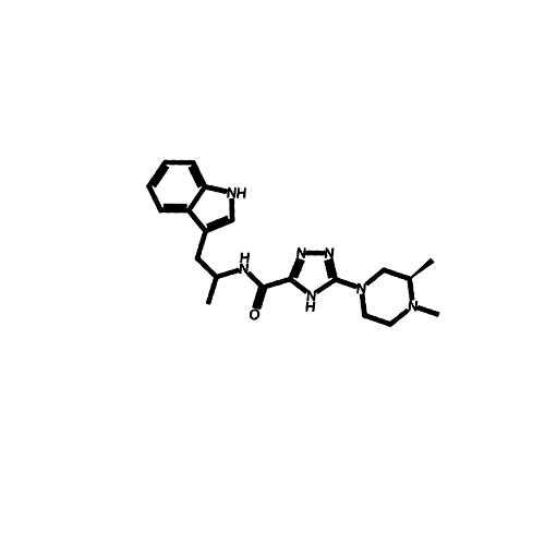 CC(Cc1c[nH]c2ccccc12)NC(=O)c1nnc(N2CCN(C)[C@H](C)C2)[nH]1